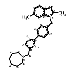 Cc1ccc2nc(C)n(Cc3ccc(-c4nc(CN5CCCCCC5)co4)cc3)c2c1